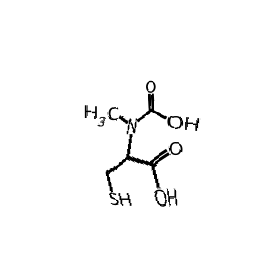 CN(C(=O)O)C(CS)C(=O)O